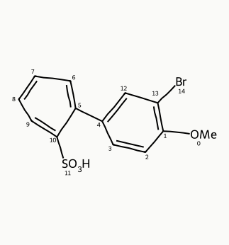 COc1ccc(-c2ccccc2S(=O)(=O)O)cc1Br